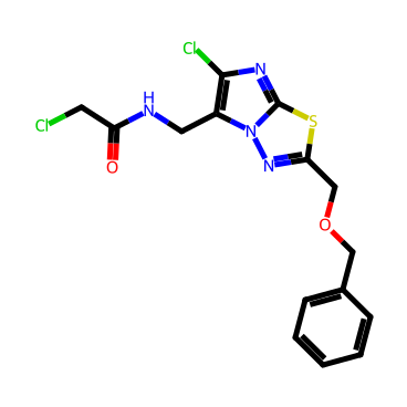 O=C(CCl)NCc1c(Cl)nc2sc(COCc3ccccc3)nn12